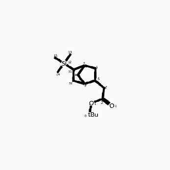 CC(C)(C)OC(=O)CC1CC2CC1CC2[Si](C)(C)C